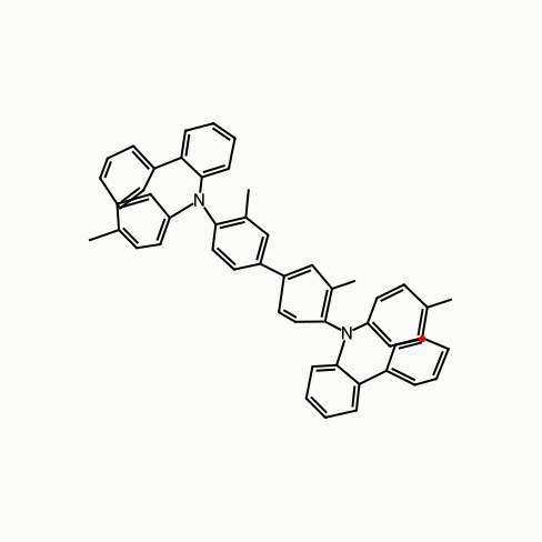 Cc1ccc(N(c2ccc(-c3ccc(N(c4ccc(C)cc4)c4ccccc4-c4ccccc4)c(C)c3)cc2C)c2ccccc2-c2ccccc2)cc1